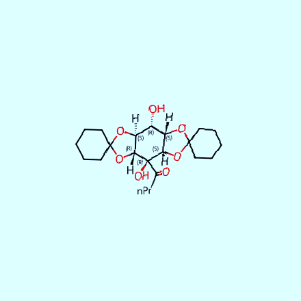 CCCC(=O)[C@]1(O)[C@@H]2OC3(CCCCC3)O[C@H]2[C@H](O)[C@@H]2OC3(CCCCC3)O[C@@H]21